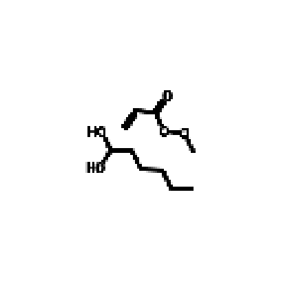 C=CC(=O)OOC.CCCCCC(O)O